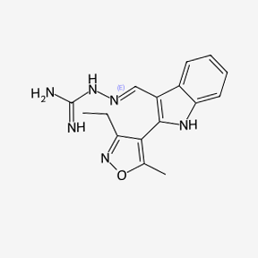 CCc1noc(C)c1-c1[nH]c2ccccc2c1/C=N/NC(=N)N